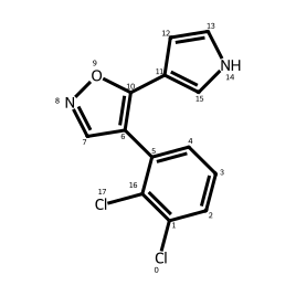 Clc1cccc(-c2cnoc2-c2cc[nH]c2)c1Cl